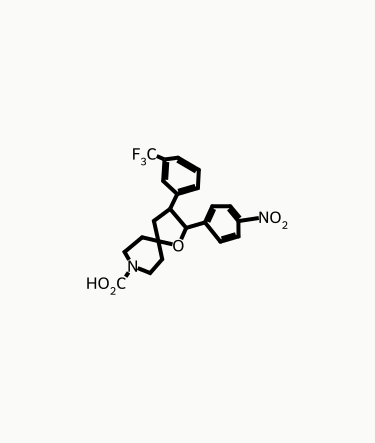 O=C(O)N1CCC2(CC1)CC(c1cccc(C(F)(F)F)c1)C(c1ccc([N+](=O)[O-])cc1)O2